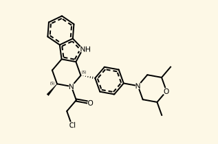 CC1CN(c2ccc([C@H]3c4[nH]c5ccccc5c4C[C@H](C)N3C(=O)CCl)cc2)CC(C)O1